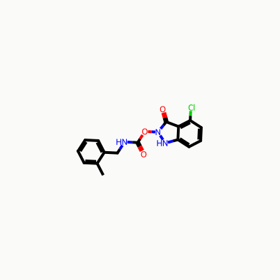 Cc1ccccc1CNC(=O)On1[nH]c2cccc(Cl)c2c1=O